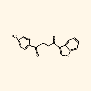 Cc1ccc(C(=O)CCC(=O)c2csc3ccccc23)cc1